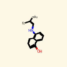 CCCCC(CC)CNc1cccc2c(O)cccc12